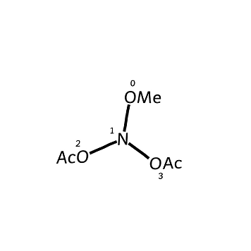 CON(OC(C)=O)OC(C)=O